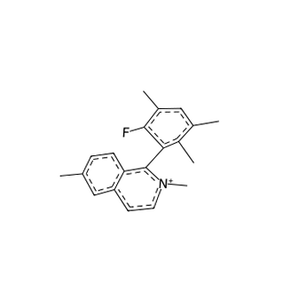 Cc1ccc2c(-c3c(C)c(C)cc(C)c3F)[n+](C)ccc2c1